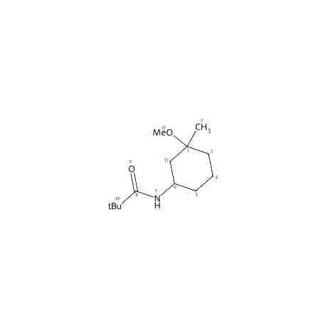 COC1(C)CCCC(NC(=O)C(C)(C)C)C1